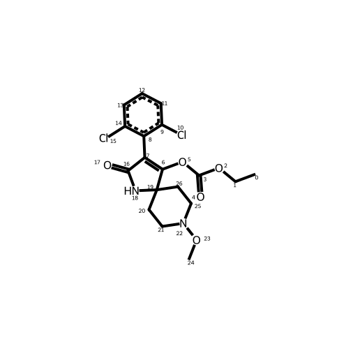 CCOC(=O)OC1=C(c2c(Cl)cccc2Cl)C(=O)NC12CCN(OC)CC2